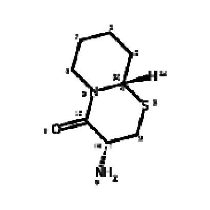 N[C@H]1CS[C@H]2CCCCN2C1=O